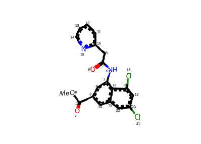 COC(=O)c1cc(NC(=O)Cc2ccccn2)c2c(Cl)cc(Cl)cc2c1